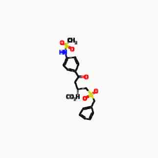 CS(=O)(=O)Nc1ccc(C(=O)CC(CS(=O)(=O)Cc2ccccc2)C(=O)O)cc1